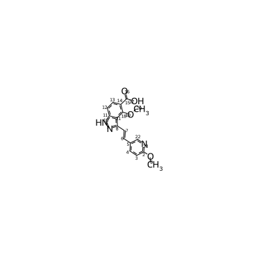 COc1ccc(C=Cc2n[nH]c3ccc(C(=O)O)c(OC)c23)cn1